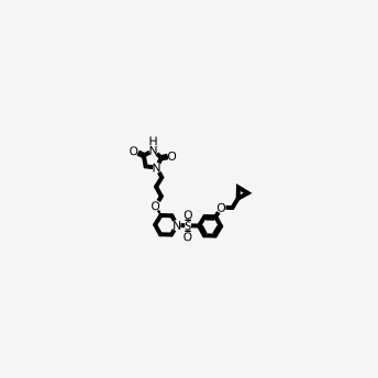 O=C1CN(CCCO[C@@H]2CCCN(S(=O)(=O)c3cccc(OCC4CC4)c3)C2)C(=O)N1